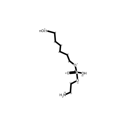 CCCCCCCCCCCCCCOP(=O)(O)OCCN